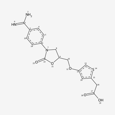 N=C(N)c1ccc(N2CC(COc3csc(CC(=O)O)c3)OC2=O)cc1